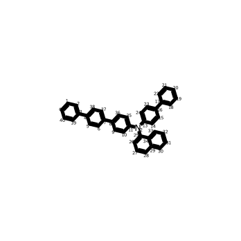 c1ccc(-c2ccc(-c3ccc(N(c4ccc(-c5ccccc5)cc4)c4cccc5ccccc45)cc3)cc2)cc1